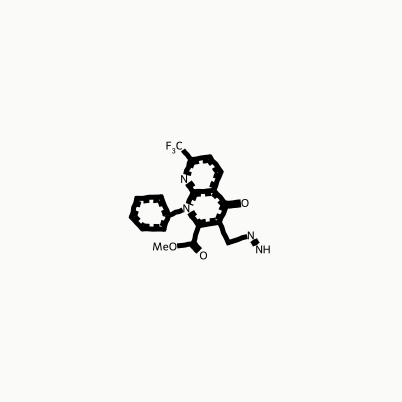 COC(=O)c1c(CN=N)c(=O)c2ccc(C(F)(F)F)nc2n1-c1ccccc1